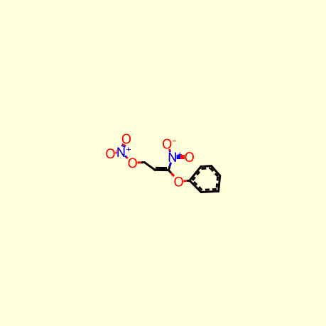 O=[N+]([O-])OCC=C(Oc1ccccc1)[N+](=O)[O-]